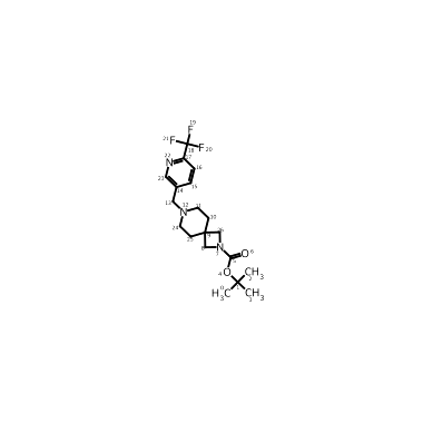 CC(C)(C)OC(=O)N1CC2(CCN(Cc3ccc(C(F)(F)F)nc3)CC2)C1